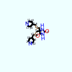 O=C1NC(=O)C(CSCc2ccncc2)(CSCc2ccncc2)N1